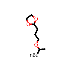 CCCCC(C)OCCCC1OCCO1